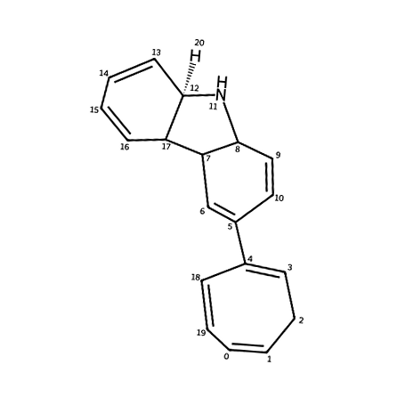 C1=CCC=C(C2=CC3C(C=C2)N[C@@H]2C=CC=CC32)C=C1